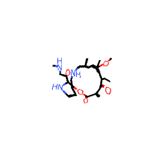 CNCC(=O)C1NCCC12CNCC(C)CC(C)(OC)CC(C)C(=O)C(C)C(=O)O2